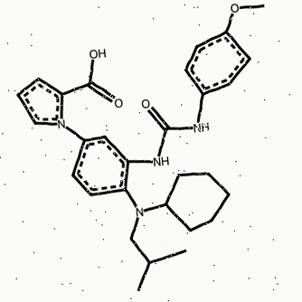 COc1ccc(NC(=O)Nc2cc(-n3cccc3C(=O)O)ccc2N(CC(C)C)C2CCCCC2)cc1